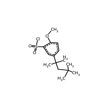 COc1ccc(C(C)(C)CC(C)(C)C)cc1S(=O)(=O)Cl